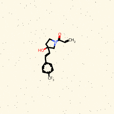 C=CC(=O)N1CCC(O)(C=Cc2ccc(C(F)(F)F)cc2)C1